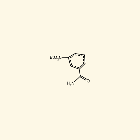 CCOC(=O)c1cccc(C(N)=O)c1